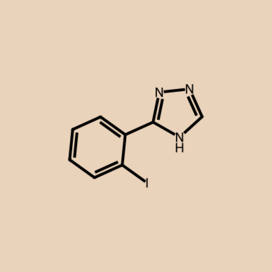 Ic1ccccc1-c1nnc[nH]1